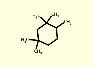 CC1CCC(C)(C)CC1(C)C